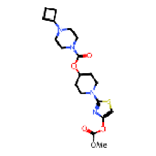 COC(=O)Oc1csc(N2CCC(OC(=O)N3CCN(C4CCC4)CC3)CC2)n1